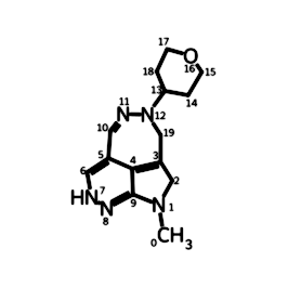 CN1CC2=C3C(=CNN=C31)C=NN(C1CCOCC1)C2